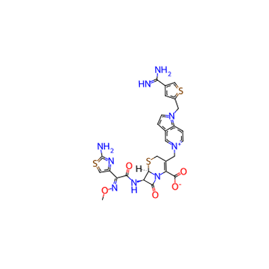 CON=C(C(=O)N[C@@H]1C(=O)N2C(C(=O)[O-])=C(C[n+]3ccc4c(ccn4Cc4cc(C(=N)N)cs4)c3)CS[C@H]12)c1csc(N)n1